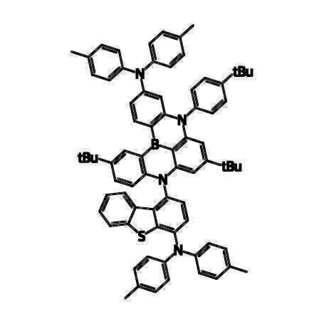 Cc1ccc(N(c2ccc(C)cc2)c2ccc3c(c2)N(c2ccc(C(C)(C)C)cc2)c2cc(C(C)(C)C)cc4c2B3c2cc(C(C)(C)C)ccc2N4c2ccc(N(c3ccc(C)cc3)c3ccc(C)cc3)c3sc4ccccc4c23)cc1